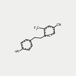 CCCc1ccc(CCc2ccc(C#N)cc2C(F)(F)F)cc1